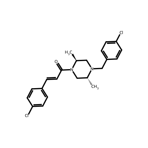 C[C@@H]1CN(C(=O)C=Cc2ccc(Cl)cc2)[C@@H](C)CN1Cc1ccc(Cl)cc1